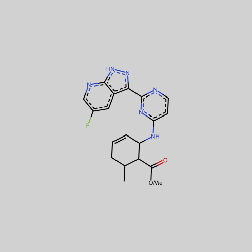 COC(=O)C1C(C)CC=CC1Nc1ccnc(-c2n[nH]c3ncc(F)cc23)n1